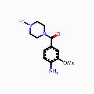 CCN1CCN(C(=O)c2ccc(N)c(OC)c2)CC1